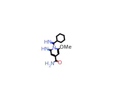 COc1cc(C(N)=O)cc(=N)n1C(=N)C1CCCCC1